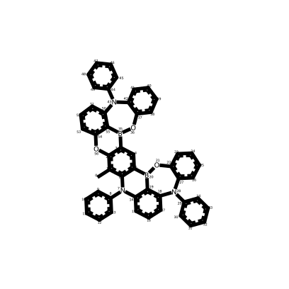 Cc1c2c(cc3c1N(c1ccccc1)c1cccc4c1B3Oc1ccccc1N4c1ccccc1)B1Oc3ccccc3N(c3ccccc3)c3cccc(c31)O2